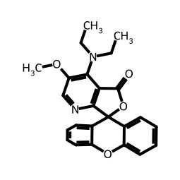 CCN(CC)c1c(OC)cnc2c1C(=O)OC21c2ccccc2Oc2ccccc21